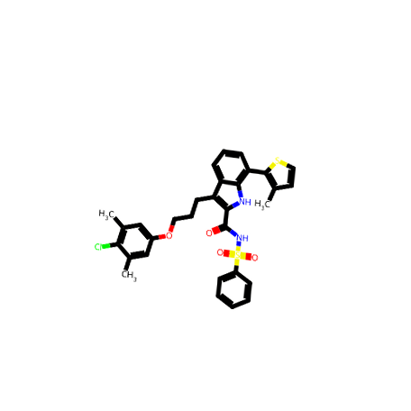 Cc1ccsc1-c1cccc2c(CCCOc3cc(C)c(Cl)c(C)c3)c(C(=O)NS(=O)(=O)c3ccccc3)[nH]c12